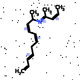 C=C/C=C/C/C=C\C=C/C(C)/N=C(C)/C=C\C